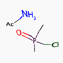 CC(N)=O.CP(C)(=O)Cl